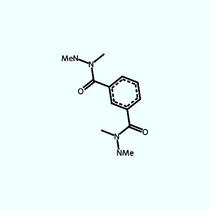 CNN(C)C(=O)c1cccc(C(=O)N(C)NC)c1